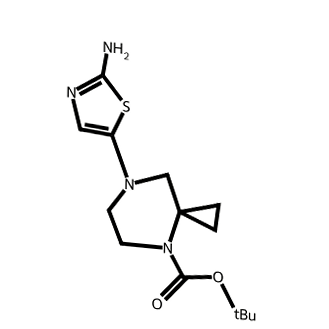 CC(C)(C)OC(=O)N1CCN(c2cnc(N)s2)CC12CC2